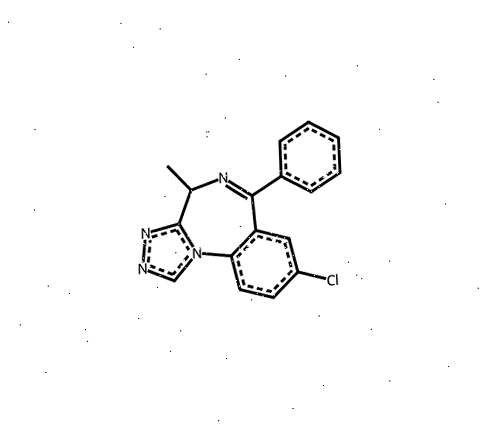 CC1N=C(c2ccccc2)c2cc(Cl)ccc2-n2cnnc21